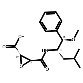 CO[C@H](c1ccccc1)[C@H](CC(C)C)NC(=O)[C@H]1O[C@@H]1C(=O)O